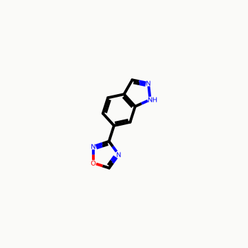 c1nc(-c2ccc3cn[nH]c3c2)no1